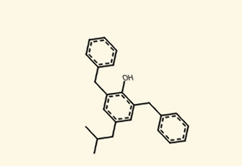 CC(C)Cc1cc(Cc2ccccc2)c(O)c(Cc2ccccc2)c1